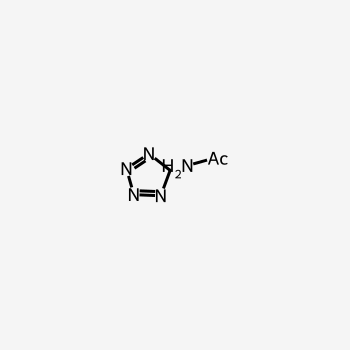 C1N=NN=N1.CC(N)=O